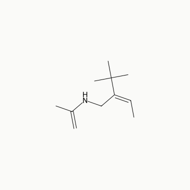 C=C(C)NC/C(=C\C)C(C)(C)C